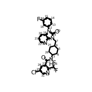 O=C(NC1CCC(Cn2c(=O)n(-c3cccc(F)c3)c3cccnc32)CC1)c1cc(Cl)cnc1C(F)F